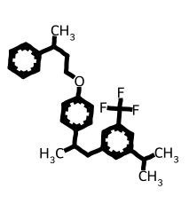 CC(C)c1cc(CC(C)c2ccc(OCCC(C)c3ccccc3)cc2)cc(C(F)(F)F)c1